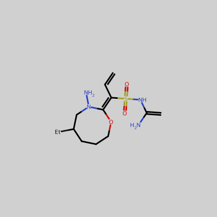 C=C/C(=C1/OCCCC(CC)CN1N)S(=O)(=O)NC(=C)N